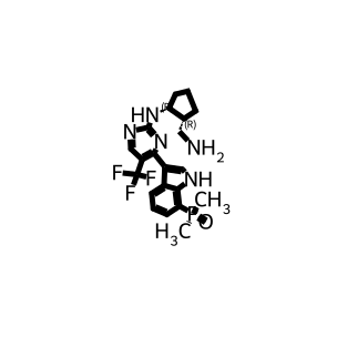 CP(C)(=O)c1cccc2c(-c3nc(N[C@@H]4CCC[C@@H]4CN)ncc3C(F)(F)F)c[nH]c12